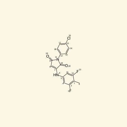 Cc1c(F)cc(NC2=CC(=O)N(c3ccc(Cl)cc3)C2=O)cc1F